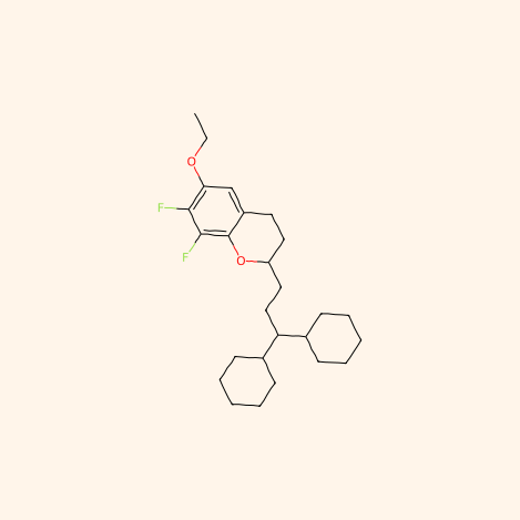 CCOc1cc2c(c(F)c1F)OC(CCC(C1CCCCC1)C1CCCCC1)CC2